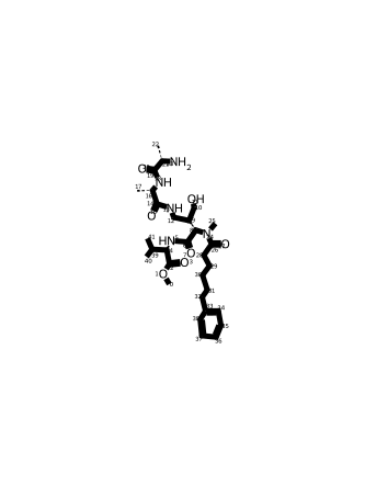 COC(=O)[C@@H](NC(=O)[C@H](C(CO)CNC(=O)[C@H](C)NC(=O)[C@H](C)N)N(C)C(=O)CCCCCc1ccccc1)C(C)C